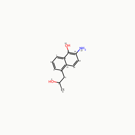 CCC(O)Cc1cccc2c(O)c(N)ccc12